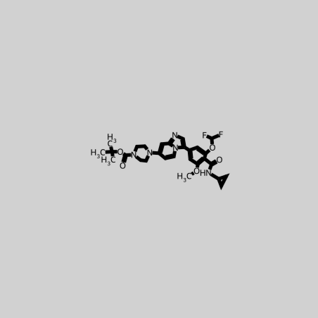 COc1cc(-c2cnc3cc(N4CCN(C(=O)OC(C)(C)C)CC4)ccn23)cc(OC(F)F)c1C(=O)NC1CC1